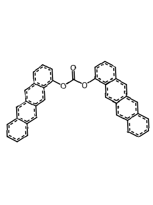 O=C(Oc1cccc2cc3cc4ccccc4cc3cc12)Oc1cccc2cc3cc4ccccc4cc3cc12